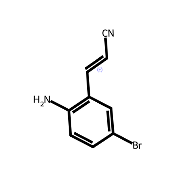 N#C/C=C/c1cc(Br)ccc1N